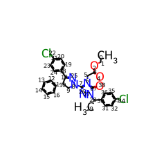 CCOC(=O)Cn1c(N2C[C@H](c3ccccc3)C(c3ccc(Cl)cc3)=N2)nn([C@@H](C)c2ccc(Cl)cc2)c1=O